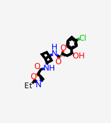 CCc1ncc(C(=O)NC2CC3(NC(=O)[C@H]4C[C@@H](O)c5cc(Cl)ccc5O4)CCC23)o1